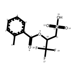 Cc1ccccc1C(=O)OC(CS(=O)(=O)O)C(F)(F)F